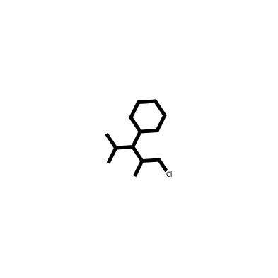 CC(C)C(C(C)CCl)C1CCCCC1